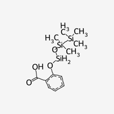 C[Si](C)(C)[Si](C)(C)O[SiH2]Oc1ccccc1C(=O)O